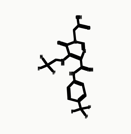 N=C(Nc1ccc(C(F)(F)F)cc1)c1ncn(CC(=O)O)c(=O)c1NCC(F)(F)F